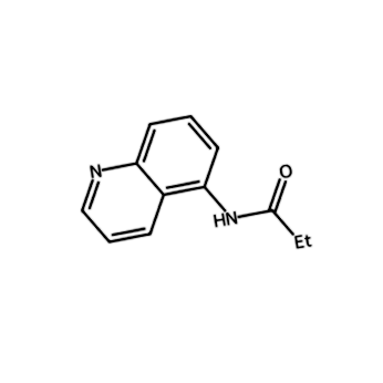 [CH2]CC(=O)Nc1cccc2ncccc12